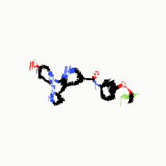 CC(F)(F)Oc1ccc(NC(=O)c2cnc(N3CC[C@@H](O)C3)c(-c3ccn[nH]3)c2)cc1